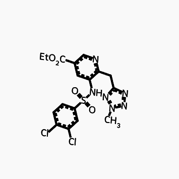 CCOC(=O)c1cnc(Cc2nnn(C)n2)c(NS(=O)(=O)c2ccc(Cl)c(Cl)c2)c1